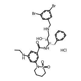 CCNc1cc(C(=O)N[C@@H](Cc2ccccc2)[C@H](O)CNCc2cc(Br)cc(Br)c2)cc(N2CCCCS2(=O)=O)c1.Cl